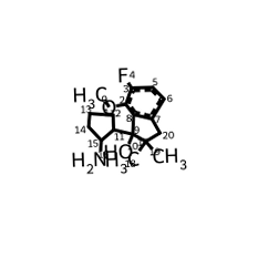 COc1c(F)ccc2c1C(O)(C1CCCC1N)C(C)(C)C2